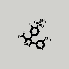 Cc1cncc(-c2noc(C(F)F)c2-c2ccc(S(N)(=O)=O)c(F)c2)c1